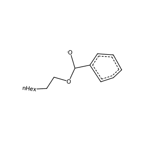 CCCCCCCCOC([O])c1ccccc1